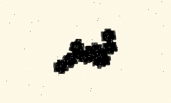 CC1(c2ccccc2)c2ccc3c(c2Sc2ccc4c(c21)c1ccccc1n4-c1cccc(-c2ccccc2)c1)c1ccccc1n3-c1ccc(-c2ccccc2)cc1